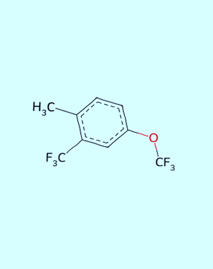 Cc1ccc(OC(F)(F)F)cc1C(F)(F)F